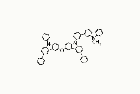 Cn1c2ccccc2c2ccc(-c3cccc(-n4c5ccc(Oc6ccc7c(c6)c6cc(-c8ccccc8)ccc6n7-c6ccccc6)cc5c5cc(-c6ccccc6)ccc54)c3)cc21